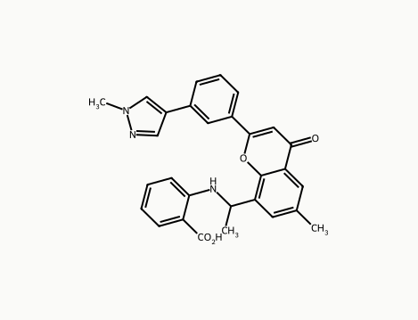 Cc1cc(C(C)Nc2ccccc2C(=O)O)c2oc(-c3cccc(-c4cnn(C)c4)c3)cc(=O)c2c1